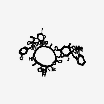 CC[C@H]1OC(=O)[C@H](C)[C@@H](O[C@H]2C[C@@](C)(OC)[C@](O)(CN3CCCCC3)[C@H](C)O2)[C@H](C)[C@@H](O[C@H]2O[C@@H](C)C[C@@H](N(C)S(=O)(=O)Nc3cccc(Cl)c3)[C@@H]2O)[C@](C)(O)C[C@@H](C)CN[C@H](C)[C@@H](O)[C@]1(C)O